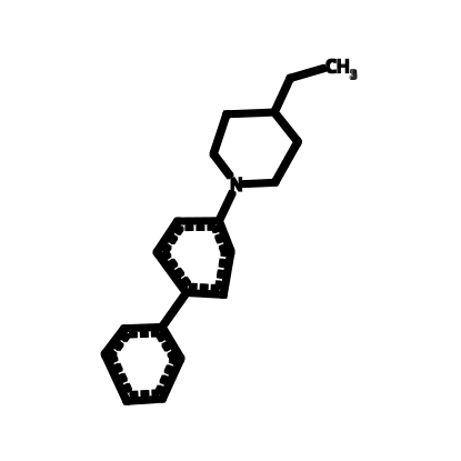 CCC1CCN(c2ccc(-c3ccccc3)cc2)CC1